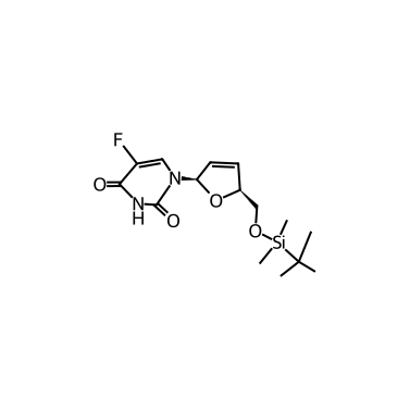 CC(C)(C)[Si](C)(C)OC[C@@H]1C=C[C@H](n2cc(F)c(=O)[nH]c2=O)O1